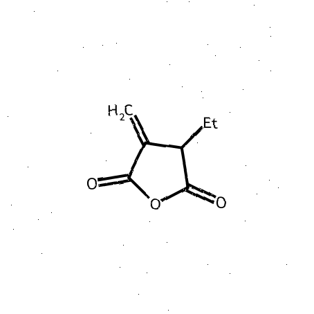 C=C1C(=O)OC(=O)C1CC